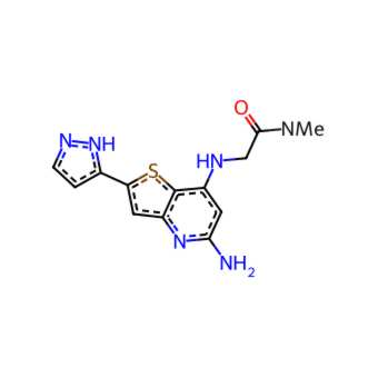 CNC(=O)CNc1cc(N)nc2cc(-c3ccn[nH]3)sc12